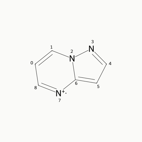 C1=Cn2nccc2[N+]=C1